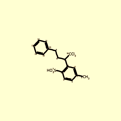 Cc1ccc(S(=O)(=O)O)c(C(CCc2ccccc2)C(Cl)(Cl)Cl)c1